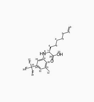 C=CCCCCC[C@H](Nc1cc(C)cc(C(F)(F)F)c1)C(=O)O